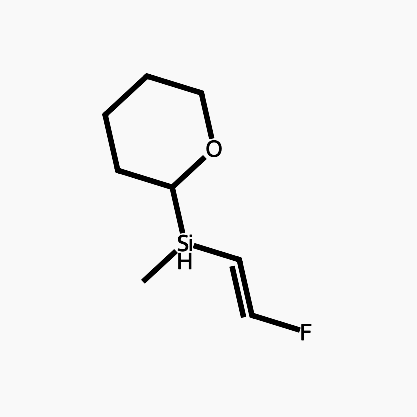 C[SiH](C=CF)C1CCCCO1